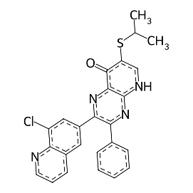 CC(C)Sc1c[nH]c2nc(-c3ccccc3)c(-c3cc(Cl)c4ncccc4c3)nc2c1=O